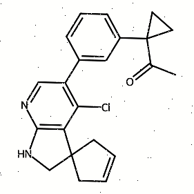 CC(=O)C1(c2cccc(-c3cnc4c(c3Cl)C3(CC=CC3)CN4)c2)CC1